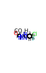 O=C(O)Oc1cnn(-c2nc3cc(Cl)c(F)cc3[nH]2)c1